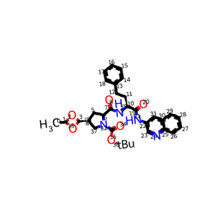 CC1OC([C@H]2CC(C(=O)N[C@@H](CCc3ccccc3)C(=O)Nc3cnc4ccccc4c3)N(C(=O)OC(C)(C)C)C2)O1